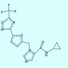 O=C(NC1CC1)c1cncn1Cc1ccc(-c2noc(C(F)(F)F)n2)s1